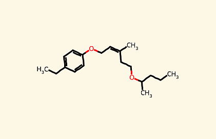 CCCC(C)OCCC(C)=CCOc1ccc(CC)cc1